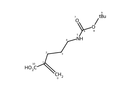 C=C(CCCNC(=O)OC(C)(C)C)C(=O)O